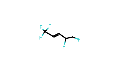 FCC(F)C=CC(F)(F)F